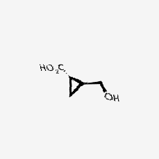 O=C(O)[C@H]1C[C@@H]1CO